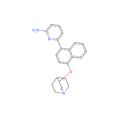 Nc1cccc(-c2ccc(OC3CN4CCC3CC4)c3ccccc23)n1